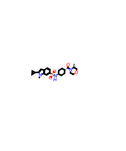 C[C@H]1COCCN1C(=O)[C@H]1CC[C@H](NS(=O)(=O)c2ccc3cc(C4CC4)n(C)c3c2)CC1